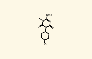 CNc1nc(=O)n(C2CCC(C(C)C)CC2)c(=O)n1C